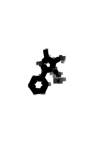 CC(=O)c1c(C)oc(-c2ccccc2)[n+]1[O-].Cl